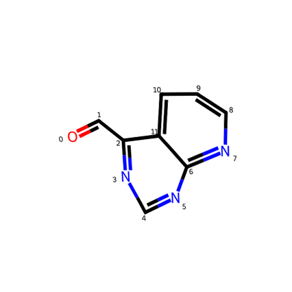 O=Cc1ncnc2ncccc12